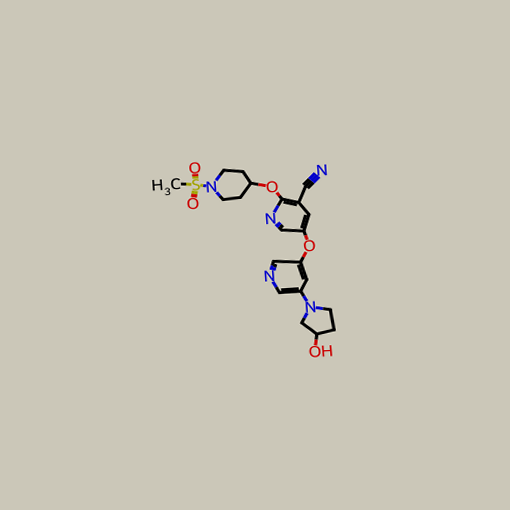 CS(=O)(=O)N1CCC(Oc2ncc(Oc3cncc(N4CCC(O)C4)c3)cc2C#N)CC1